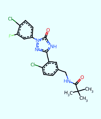 CC(C)(C)C(=O)NCc1ccc(Cl)c(-c2nn(-c3ccc(Cl)c(F)c3)c(=O)[nH]2)c1